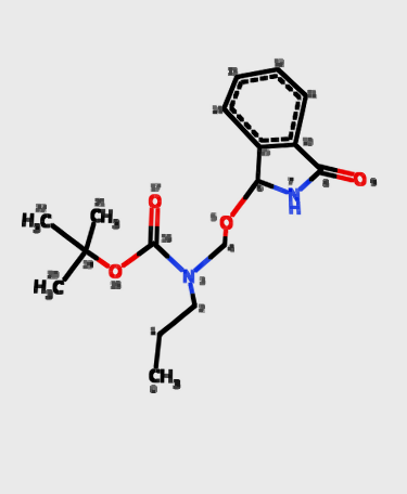 CCCN(COC1NC(=O)c2ccccc21)C(=O)OC(C)(C)C